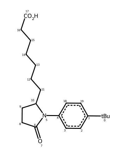 CC(C)(C)c1ccc(N2C(=O)CCC2CCCCCCC(=O)O)cc1